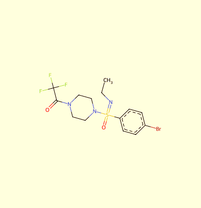 CCN=S(=O)(c1ccc(Br)cc1)N1CCN(C(=O)C(F)(F)F)CC1